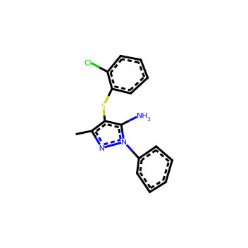 Cc1nn(-c2ccccc2)c(N)c1Sc1ccccc1Cl